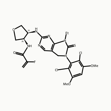 C=C(F)C(=O)N[C@H]1COC[C@H]1Nc1ncc2c(n1)N(CC)C(=S)N(c1c(Cl)c(OC)cc(OC)c1Cl)C2